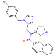 N#Cc1ccc(Cn2cncc2CN(C(=O)c2ccc3ccccc3c2)[C@H]2CCNC2)cc1